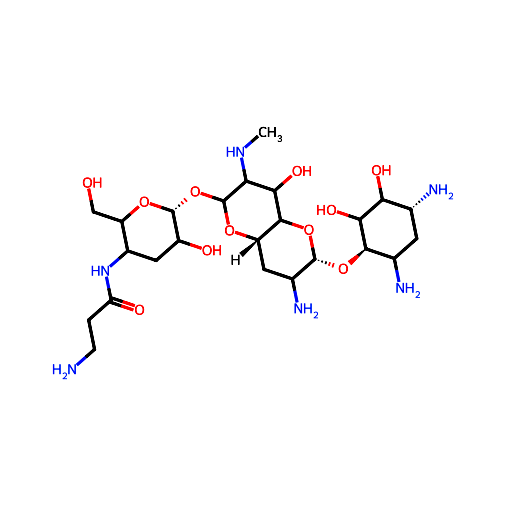 CNC1C(O[C@H]2OC(CO)C(NC(=O)CCN)CC2O)O[C@H]2CC(N)[C@@H](O[C@@H]3C(N)C[C@@H](N)C(O)C3O)OC2C1O